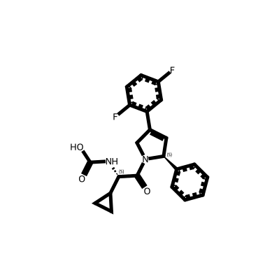 O=C(O)N[C@H](C(=O)N1CC(c2cc(F)ccc2F)=C[C@H]1c1ccccc1)C1CC1